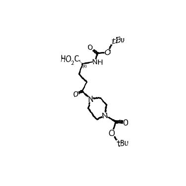 CC(C)(C)OC(=O)N[C@H](CCC(=O)N1CCN(C(=O)OC(C)(C)C)CC1)C(=O)O